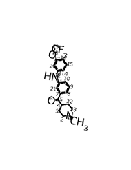 CN1CCC(C(=O)c2cccc(Nc3cccc(OC(F)(F)F)c3)c2)CC1